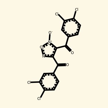 O=C(c1ccc(Cl)c(Cl)c1)c1no[n+]([O-])c1C(=O)c1ccc(Cl)c(Cl)c1